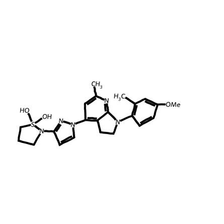 COc1ccc(N2CCc3c(-n4ccc(N5CCCS5(O)O)n4)cc(C)nc32)c(C)c1